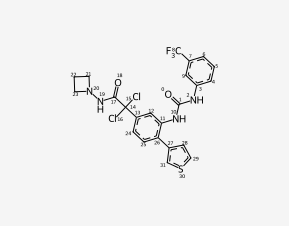 O=C(Nc1cccc(C(F)(F)F)c1)Nc1cc(C(Cl)(Cl)C(=O)NN2CCC2)ccc1-c1ccsc1